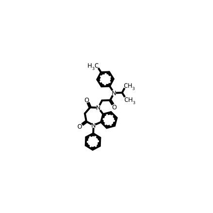 Cc1ccc(N(C(=O)CN2C(=O)CC(=O)N(c3ccccc3)c3ccccc32)C(C)C)cc1